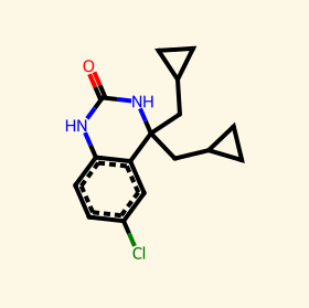 O=C1Nc2ccc(Cl)cc2C(CC2CC2)(CC2CC2)N1